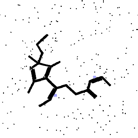 C=C(/C=C\C)CC/C(=C/C)C1=C(C)C(C)(CCC)N=C1C